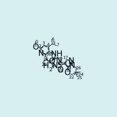 COc1cc(C(C)C)c(NC(=O)N=S(N)(=O)c2cnn3c2OCC(C)(C)C3)c(C(C)C)n1